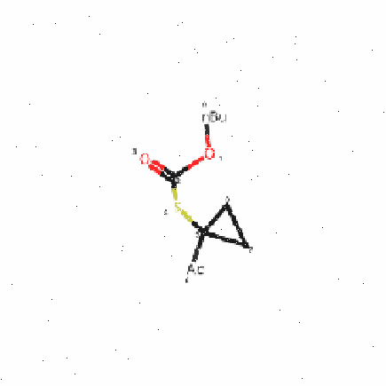 CCCCOC(=O)SC1(C(C)=O)CC1